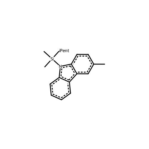 CCCC(C)[Si](C)(C)n1c2ccccc2c2cc(C)ccc21